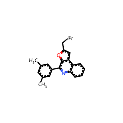 Cc1cc(C)cc(-c2nc3ccccc3c3cc(CC(C)C)oc23)c1